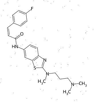 CN(C)CCCN(C)c1nc2ccc(NC(=O)/C=C\c3ccc(F)cc3)cc2s1